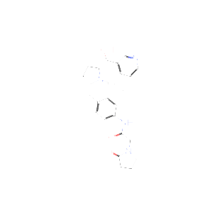 O=C(CN1CCCC1=O)Nc1ccc(C[C@@H]2CC[C@H](C(O)c3cccnc3)N2C(=O)O)cc1